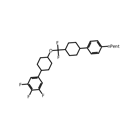 CCCCCc1ccc(C2CCC(C(F)(F)OC3CCC(c4cc(F)c(F)c(F)c4)CC3)CC2)cc1